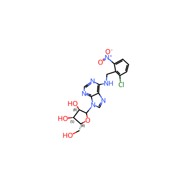 O=[N+]([O-])c1cccc(Cl)c1CNc1ncnc2c1ncn2C1O[C@H](CO)[C@@H](O)[C@H]1O